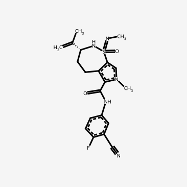 C=C(C)[C@H]1CCc2c(cn(C)c2C(=O)Nc2ccc(F)c(C#N)c2)S(=O)(=NC)N1